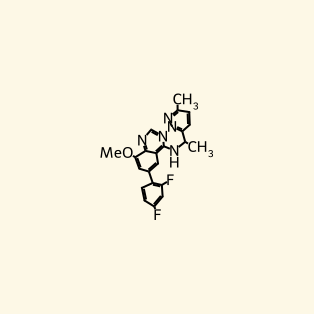 COc1cc(-c2ccc(F)cc2F)cc2c(NC(C)c3ccc(C)nn3)ncnc12